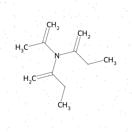 C=C(C)N(C(=C)CC)C(=C)CC